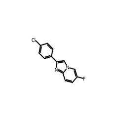 Fc1ccc2nc(-c3ccc(Cl)cc3)cn2c1